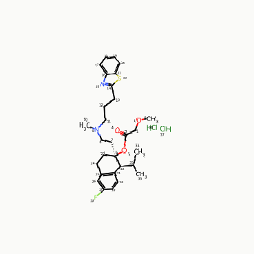 COCC(=O)O[C@]1(CCN(C)CCCc2nc3ccccc3s2)CCc2cc(F)ccc2[C@@H]1C(C)C.Cl.Cl